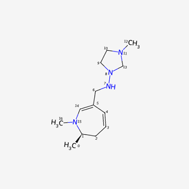 C[C@@H]1CC=CC(CNN2CCN(C)C2)=CN1C